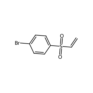 C=CS(=O)(=O)c1ccc(Br)cc1